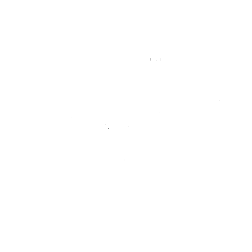 CC(C)(C)c1cc(F)ccc1OC1CN(C(c2ccccc2)c2ccccc2)C1